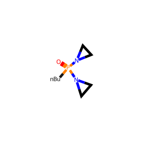 CCCCP(=O)(N1CC1)N1CC1